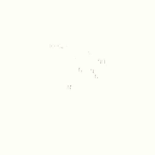 CC(=O)c1c(N)n2ncc(-c3cnc4ccccc4c3)c2nc1[C@H]1CC[C@H](C(=O)O)CC1